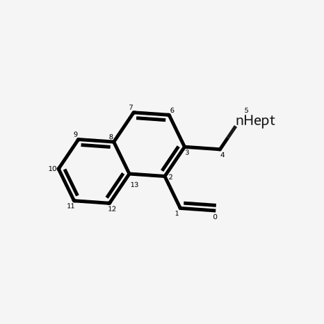 C=Cc1c(CCCCCCCC)ccc2ccccc12